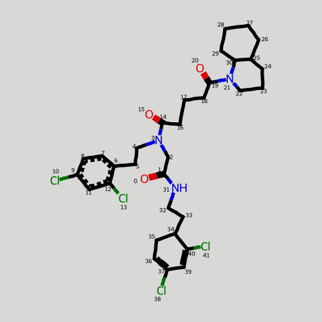 O=C(CN(CCc1ccc(Cl)cc1Cl)C(=O)CCCC(=O)N1CCCC2CCCCC21)NCCC1CC=C(Cl)C=C1Cl